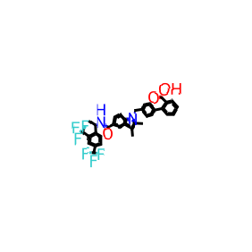 Cc1c(C)n(Cc2ccc(-c3ccccc3C(=O)O)cc2)c2ccc(C(=O)NC(C)c3ccc(C(F)(F)F)cc3C(F)(F)F)cc12